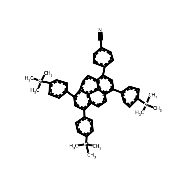 C[Si](C)(C)c1ccc(-c2cc(-c3ccc(C#N)cc3)c3ccc4c(-c5ccc([Si](C)(C)C)cc5)cc(-c5ccc([Si](C)(C)C)cc5)c5ccc2c3c45)cc1